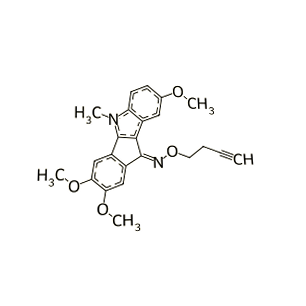 C#CCCO/N=C1/c2cc(OC)c(OC)cc2-c2c1c1cc(OC)ccc1n2C